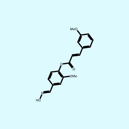 COc1cccc(C=CC(=O)Oc2ccc(/C=N/O)cc2OC)c1